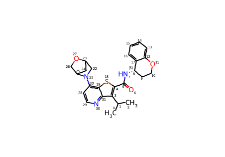 CC(C)c1c(C(=O)N[C@H]2CCOc3ccccc32)sc2c(N3CC4CC3CO4)ccnc12